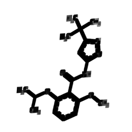 COc1cccc(OC(C)C)c1C(=O)Nc1cc(C(C)(C)C)no1